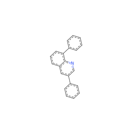 c1ccc(-c2cnc3c(-c4ccccc4)cccc3c2)cc1